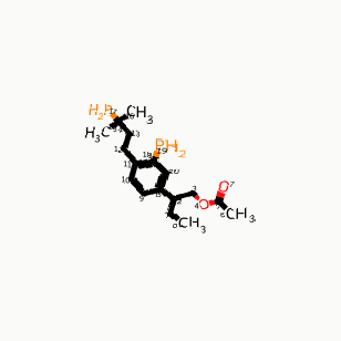 CCC(COC(C)=O)c1ccc(CCC(C)(C)P)c(P)c1